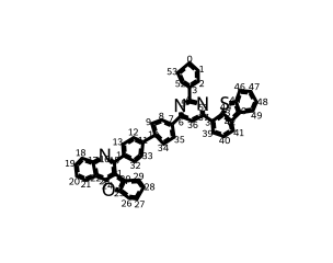 c1ccc(-c2nc(-c3ccc(-c4ccc(-c5nc6ccccc6c6oc7ccccc7c56)cc4)cc3)cc(-c3cccc4c3sc3ccccc34)n2)cc1